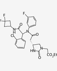 CCOC(=O)CN1C[C@@H](CC(=O)N(c2cccc(F)c2)C(C(=O)NC2CC(F)(F)C2)c2ccccc2Cl)NC1=O